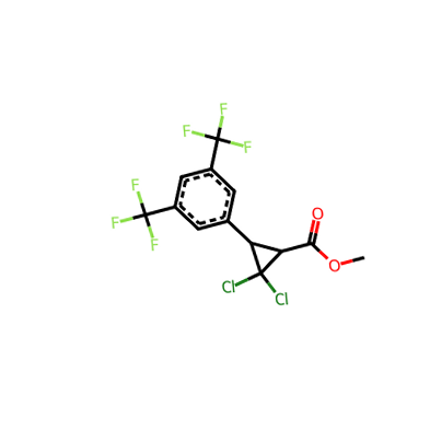 COC(=O)C1C(c2cc(C(F)(F)F)cc(C(F)(F)F)c2)C1(Cl)Cl